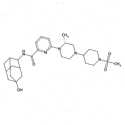 C[C@@H]1CN(C2CCN(S(C)(=O)=O)CC2)CCN1c1cccc(C(=O)NC2C3CC4CC2CC(O)(C4)C3)n1